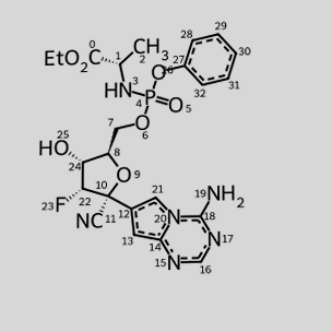 CCOC(=O)[C@H](C)NP(=O)(OC[C@H]1O[C@@](C#N)(c2cc3ncnc(N)n3c2)[C@H](F)[C@@H]1O)Oc1ccccc1